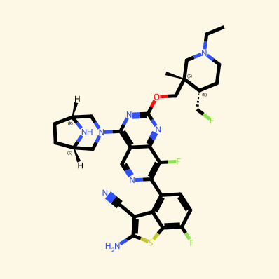 CCN1CC[C@H](CF)[C@](C)(COc2nc(N3C[C@H]4CC[C@@H](C3)N4)c3cnc(-c4ccc(F)c5sc(N)c(C#N)c45)c(F)c3n2)C1